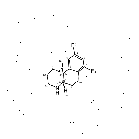 Fc1cc(F)c2c(c1)[C@H]1CCCN[C@H]1CC2